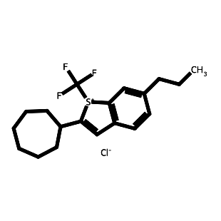 CCCc1ccc2cc(C3CCCCCC3)[s+](C(F)(F)F)c2c1.[Cl-]